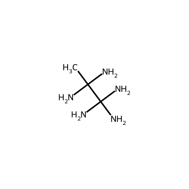 CC(N)(N)C(N)(N)N